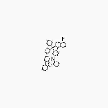 Fc1cccc2c3c(ccc12)C(c1ccccc1)(c1ccccc1)c1cc(N(c2ccccc2)c2cccc4c2oc2ccccc24)ccc1-3